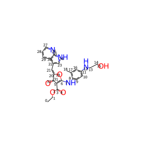 CCOC(=O)C1=C(Nc2ccc(NCCO)cc2C)O/C(=C\c2c[nH]c3ncccc23)C1=O